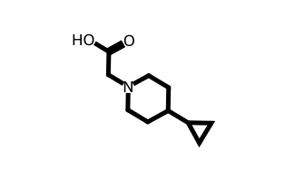 O=C(O)CN1CCC(C2CC2)CC1